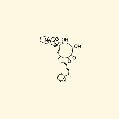 C/C(=C\C=C\[C@H](C)c1ccccn1)[C@H]1C(=O)C(=O)C[C@@H](O)CC[C@](C)(O)[C@@H](OC(=O)N2CC3CCC(C2)N3C2CCCCCC2)/C=C/[C@@H]1C